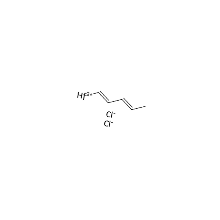 CC=CC=[CH][Hf+2].[Cl-].[Cl-]